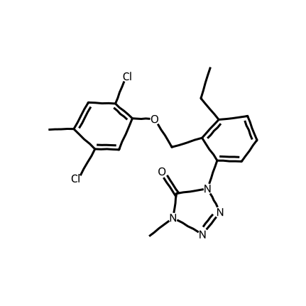 CCc1cccc(-n2nnn(C)c2=O)c1COc1cc(Cl)c(C)cc1Cl